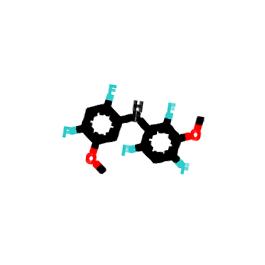 COc1cc(Bc2c(F)cc(F)c(OC)c2F)c(F)cc1F